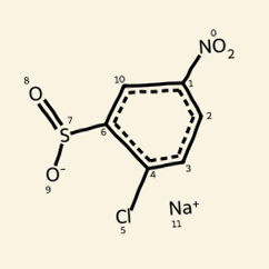 O=[N+]([O-])c1ccc(Cl)c(S(=O)[O-])c1.[Na+]